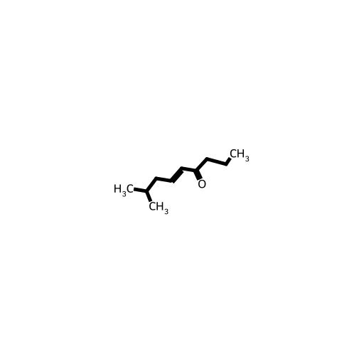 CCCC(=O)C=CCC(C)C